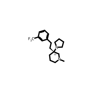 CN1CCC[C@](CCc2cccc(C(F)(F)F)c2)(N2CCCC2)C1